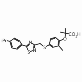 Cc1cc(SCc2nsc(-c3ccc(C(C)C)cc3)n2)ccc1OC(C)(C)C(=O)O